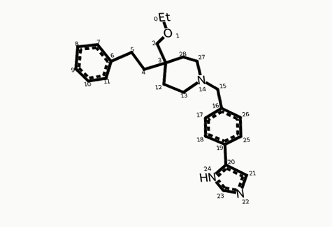 CCOCC1(CCc2ccccc2)CCN(Cc2ccc(-c3cnc[nH]3)cc2)CC1